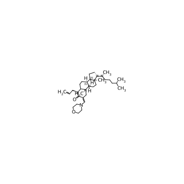 C=CC[C@@H]1C(=O)C(=CN2CCOCC2)C[C@@]2(C)C1CC[C@H]1[C@@H]3CC[C@H]([C@H](C)CCCC(C)C)[C@@]3(C)CC[C@@H]12